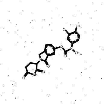 Cc1ccc(N(C)C(=O)Oc2ccc3c(c2)C(=O)N(C2CCC(=O)NC2=O)C3)cc1Cl